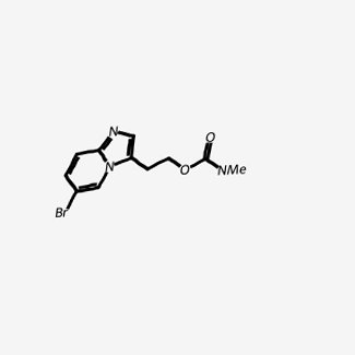 CNC(=O)OCCc1cnc2ccc(Br)cn12